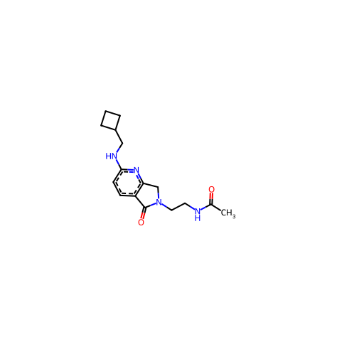 CC(=O)NCCN1Cc2nc(NCC3CCC3)ccc2C1=O